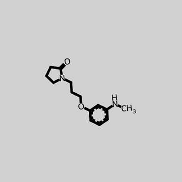 CNc1cccc(OCCCN2CCCC2=O)c1